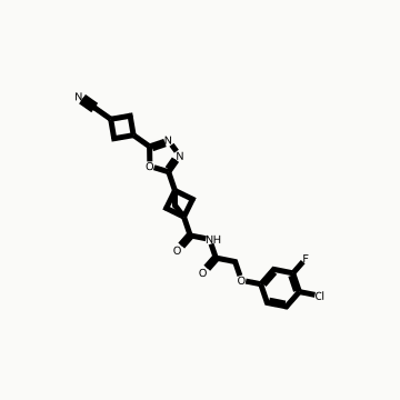 N#CC1CC(c2nnc(C34CC(C(=O)NC(=O)COc5ccc(Cl)c(F)c5)(C3)C4)o2)C1